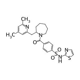 Cc1cc(C)nc(CC2CCCCCN2C(=O)c2ccc(S(=O)(=O)Nc3nccs3)cc2)c1